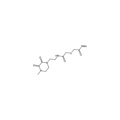 CNC(=O)CSCC(=O)NCCN1CCN(C)C(=O)C1=O